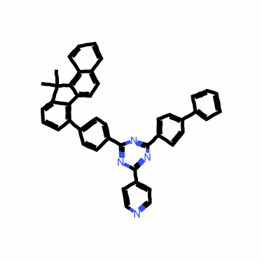 CC1(C)c2cccc(-c3ccc(-c4nc(-c5ccncc5)nc(-c5ccc(-c6ccccc6)cc5)n4)cc3)c2-c2ccc3ccccc3c21